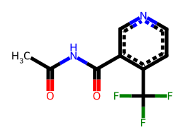 CC(=O)NC(=O)c1cnccc1C(F)(F)F